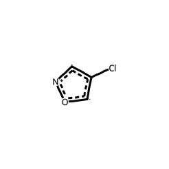 Clc1[c]no[c]1